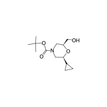 CC(C)(C)OC(=O)N1C[C@@H](CO)O[C@@H](C2CC2)C1